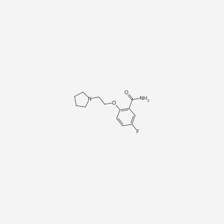 NC(=O)c1cc(F)ccc1OCCN1CCCC1